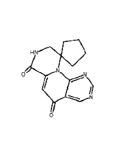 O=C1NCC2(CCCC2)n2c1cc(=O)c1cncnc12